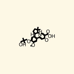 COc1cc2c(cc1OCC(C)(C)CO)[C@H]1CCC(C)(C)[C@H]1n1cc(C(=O)O)c(=O)cc1-2